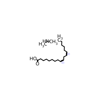 CCCCC/C=C\C/C=C\CCCCCCCC(=O)O.CNC